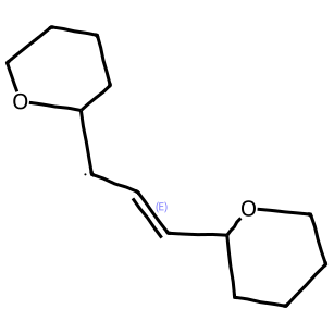 [CH](/C=C/C1CCCCO1)C1CCCCO1